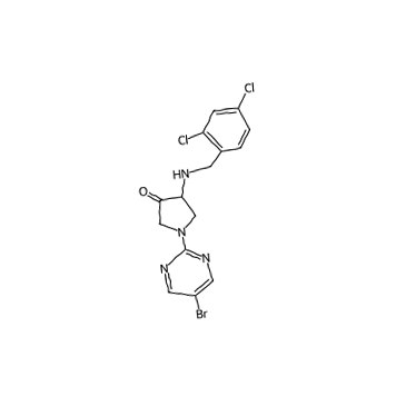 O=C1CN(c2ncc(Br)cn2)CC1NCc1ccc(Cl)cc1Cl